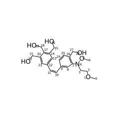 COCCN(OC)c1cc(/C=C\c2cc(CO)c(CO)c(CO)c2)ccc1CO